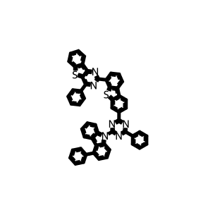 c1ccc(-c2nc(-c3ccc4c(c3)sc3c(-c5nc(-c6ccccc6)c6sc7ccccc7c6n5)cccc34)nc(-n3c4ccccc4c4c(-c5ccccc5)cccc43)n2)cc1